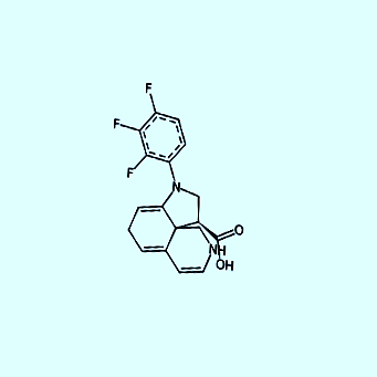 O=C(O)[C@@H]1CN(c2ccc(F)c(F)c2F)C2=CCC=C3C=CNCC321